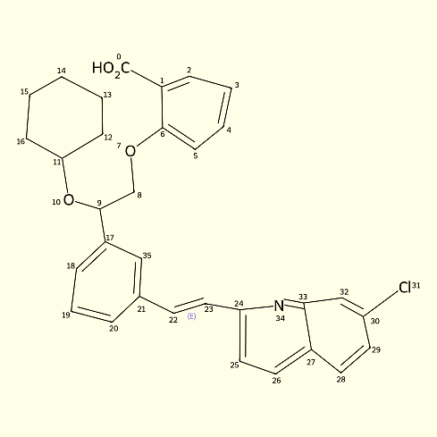 O=C(O)c1ccccc1OCC(OC1CCCCC1)c1cccc(/C=C/c2ccc3ccc(Cl)cc3n2)c1